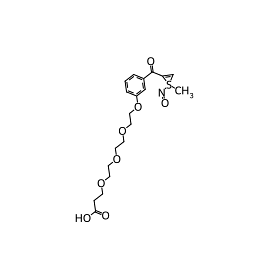 CS1(N=O)C=C1C(=O)c1cccc(OCCOCCOCCOCCC(=O)O)c1